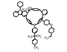 C=CC1CCC(OC2CCC(C3=C4C=CC(C3)N(C3C=CC(C(C)(C)C5=CCC(C)CC5)=CC3)C3=CCC(C=C3)C3=CC5=C(CC3C(C)(C)C3CCC(CC3)C3CCC=CC43)N(C3CCCCC3)C3=CCCCC35)CC2)CC1